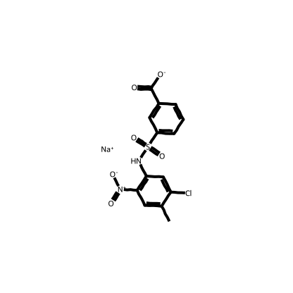 Cc1cc([N+](=O)[O-])c(NS(=O)(=O)c2cccc(C(=O)[O-])c2)cc1Cl.[Na+]